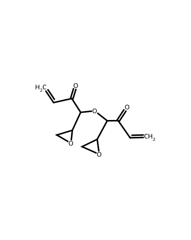 C=CC(=O)C(OC(C(=O)C=C)C1CO1)C1CO1